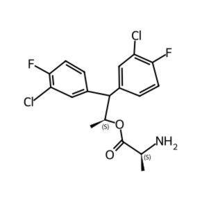 C[C@H](N)C(=O)O[C@@H](C)C(c1ccc(F)c(Cl)c1)c1ccc(F)c(Cl)c1